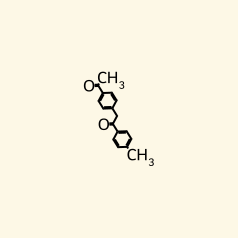 CC(=O)c1ccc(CC(=O)c2ccc(C)cc2)cc1